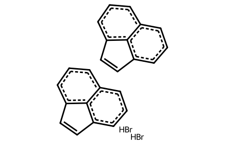 Br.Br.C1=Cc2cccc3cccc1c23.C1=Cc2cccc3cccc1c23